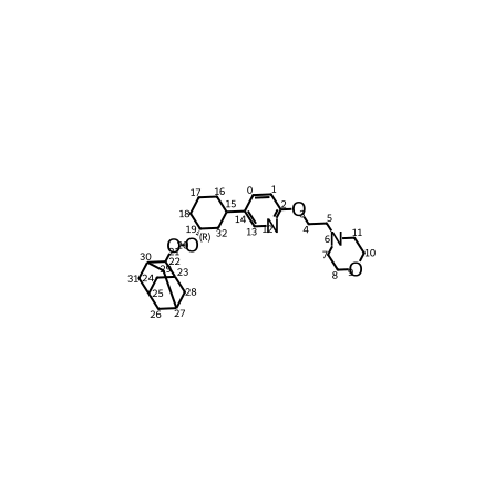 c1cc(OCCN2CCOCC2)ncc1C1CCC[C@@H](OOC2C3CC4CC(C3)CC2C4)C1